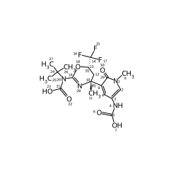 Cn1cc(NC(=O)O)cc([C@@]2(C)C[C@@H](C(F)(F)F)OC(N(C(=O)O)C(C)(C)C)=N2)c1=O